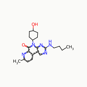 CCCCNc1ncc2c3ccc(C)nc3c(=O)n(C3CCC(O)CC3)c2n1